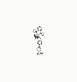 CCCC1CCN(c2ccc(Cn3nnc4c3C(=O)c3ccccc3C4=O)cc2)CC1